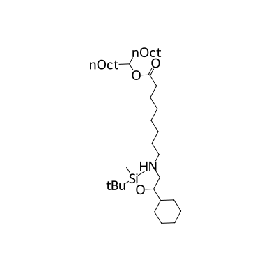 CCCCCCCCC(CCCCCCCC)OC(=O)CCCCCCCNCC(O[Si](C)(C)C(C)(C)C)C1CCCCC1